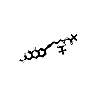 COC(=O)CC1Cc2ccc(C#CCCCN(OC(=O)C(C)(C)C)OC(=O)C(C)(C)C)cc2NC1=O